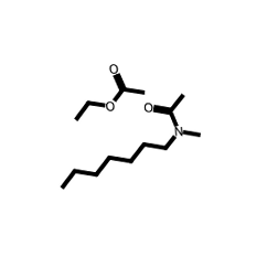 CCCCCCCN(C)C(C)=O.CCOC(C)=O